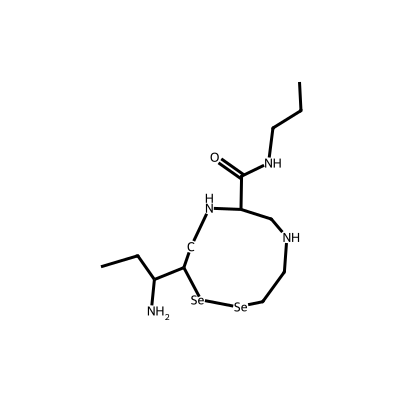 CCCNC(=O)C1CNCC[Se][Se]C(C(N)CC)CN1